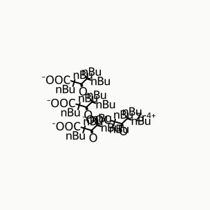 CCCCC(CCCC)C(=O)C(CCCC)(CCCC)C(=O)[O-].CCCCC(CCCC)C(=O)C(CCCC)(CCCC)C(=O)[O-].CCCCC(CCCC)C(=O)C(CCCC)(CCCC)C(=O)[O-].CCCCC(CCCC)C(=O)C(CCCC)(CCCC)C(=O)[O-].[Zr+4]